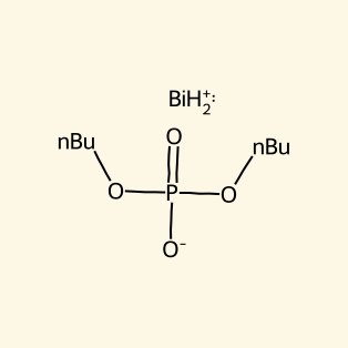 CCCCOP(=O)([O-])OCCCC.[BiH2+]